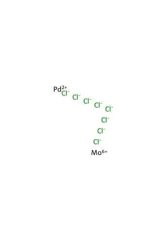 [Cl-].[Cl-].[Cl-].[Cl-].[Cl-].[Cl-].[Cl-].[Cl-].[Mo+6].[Pd+2]